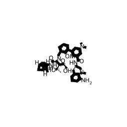 COc1c(CN2O[C@@H](CO)[C@@H]([C@H](C)O)[C@H]2C(=O)N[C@H]2C[C@H]3C[C@@H]([C@@H]2C)C3(C)C)cccc1-c1cc(C(=O)N[C@@H](Cc2cccc(N)c2)CN(C)C)cc(N(C)C)c1